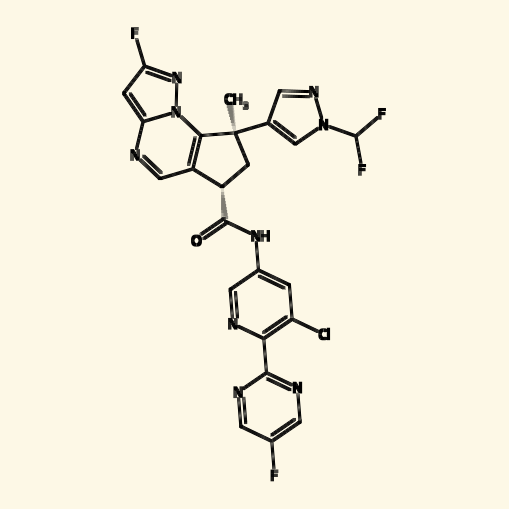 C[C@]1(c2cnn(C(F)F)c2)C[C@H](C(=O)Nc2cnc(-c3ncc(F)cn3)c(Cl)c2)c2cnc3cc(F)nn3c21